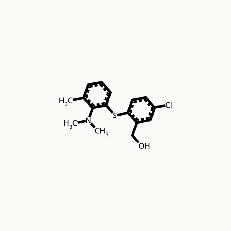 Cc1cccc(Sc2ccc(Cl)cc2CO)c1N(C)C